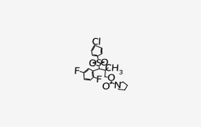 CC(COC(=O)N1CCCC1)C(c1cc(F)ccc1F)S(=O)(=O)c1ccc(Cl)cc1